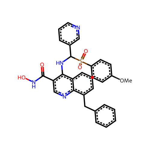 COc1ccc(S(=O)(=O)C(Nc2c(C(=O)NO)cnc3c(Cc4ccccc4)cccc23)c2cccnc2)cc1